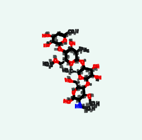 CC(=O)N[C@H]1[C@@H](OC2[C@@H](C(=O)O)O[C@@H](OC3[C@@H](CO)OC(O)[C@H](NS(=O)(=O)O)[C@H]3OS(=O)(=O)O)[C@H](O)[C@H]2O)O[C@H](COS(=O)(=O)O)C(O[C@@H]2OC(C(=O)O)=C[C@H](O)[C@H]2O)[C@@H]1O